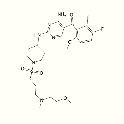 COCCN(C)CCCS(=O)(=O)N1CCC(Nc2ncc(C(=O)c3c(OC)ccc(F)c3F)c(N)n2)CC1